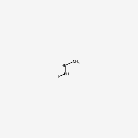 CBBI